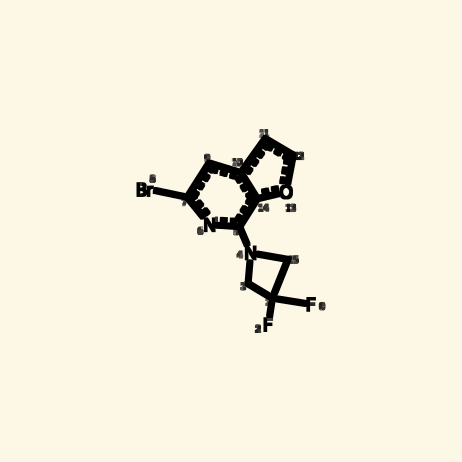 FC1(F)CN(c2nc(Br)cc3ccoc23)C1